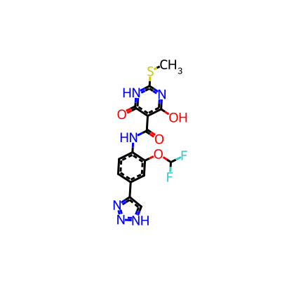 CSc1nc(O)c(C(=O)Nc2ccc(-c3c[nH]nn3)cc2OC(F)F)c(=O)[nH]1